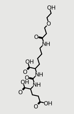 O=C(O)CCC(NC(=O)NC(CCCCNC(=O)CCOCCO)C(=O)O)C(=O)O